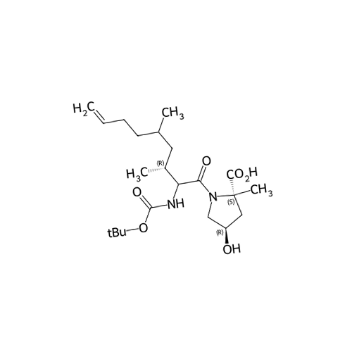 C=CCCC(C)C[C@@H](C)C(NC(=O)OC(C)(C)C)C(=O)N1C[C@H](O)C[C@@]1(C)C(=O)O